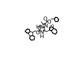 Cc1[nH]c([C@@H](Cc2cn(C)c3ccccc23)NC(=O)OCC2c3ccccc3-c3ccccc32)nc1C(=O)OCc1ccccc1